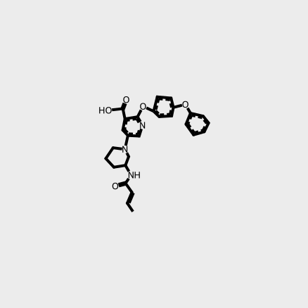 CC=CC(=O)NC1CCCN(c2cnc(Oc3ccc(Oc4ccccc4)cc3)c(C(=O)O)c2)C1